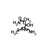 C=CC(N)=O.CSCC[C@H](NCN)C(=O)O